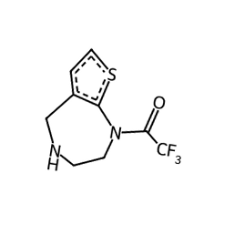 O=C(N1CCNCc2ccsc21)C(F)(F)F